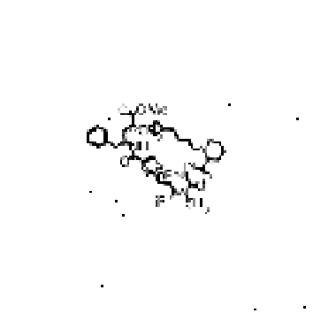 CCC[C@H](NC(=O)[C@H]1CCCCN1CCCCC1CCC1)C(=O)N(C)[C@H](CCc1nc(C(=O)N[C@@H](Cc2ccccc2)C[C@H](C)C(=O)OC)cs1)C(C)C